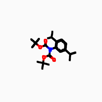 CC(C)c1ccc(C(C)C)c(N(C(=O)OC(C)(C)C)C(=O)OC(C)(C)C)c1